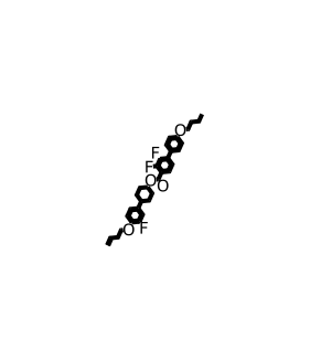 C=CCCOc1ccc(C2CCC(OC(=O)c3ccc(-c4ccc(OCCCC)cc4)c(F)c3F)CC2)cc1F